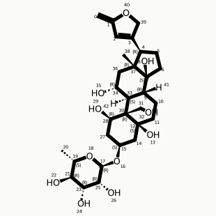 C=C1C=C([C@H]2CC[C@]3(O)[C@@H]4CC[C@]5(O)C[C@@H](O[C@@H]6O[C@@H](C)[C@H](O)[C@@H](O)[C@H]6O)C[C@@H](O)[C@]5(CO)[C@H]4[C@H](O)C[C@]23C)CO1